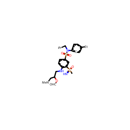 CCc1ccc(N(CC(C)C)S(=O)(=O)c2ccc(NCC(CNC)OC=O)c(S(C)(=N)=O)c2)cc1